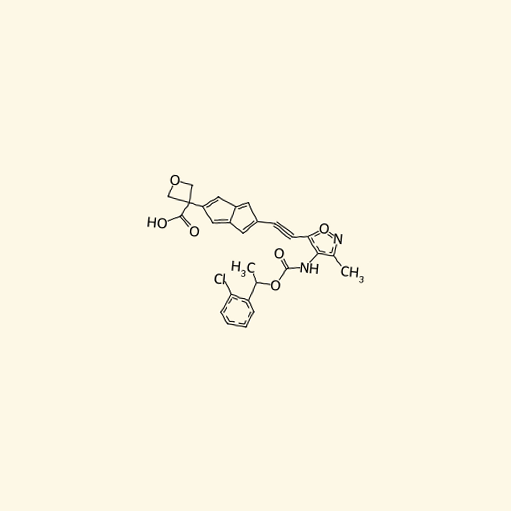 Cc1noc(C#CC2=CC3=CC(C4(C(=O)O)COC4)=CC3=C2)c1NC(=O)OC(C)c1ccccc1Cl